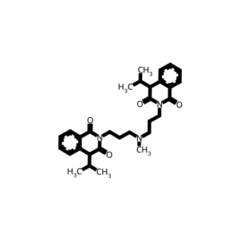 CC(C)C1C(=O)N(CCCN(C)CCCN2C(=O)c3ccccc3C(C(C)C)C2=O)C(=O)c2ccccc21